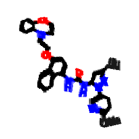 COc1ccc(-n2nc(C(C)(C)C)cc2NC(=O)Nc2ccc(OCCN3CCOc4ccccc43)c3ccccc23)cn1